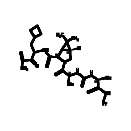 CC(C)NC(=O)[C@@H](NC(=O)N[C@H](C(=O)N1C[C@H]2C([C@H]1C(=O)NC(CC1CCC1)C(=O)C(N)=O)C2(C)C)C(C)(C)C)C(C)(C)C